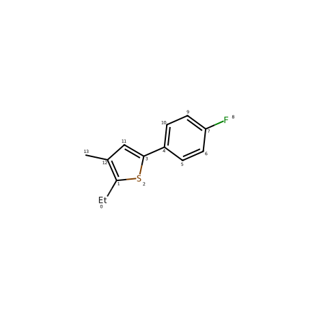 CCc1sc(-c2ccc(F)cc2)cc1C